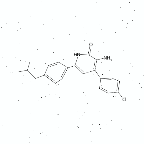 CC(C)Cc1ccc(-c2cc(-c3ccc(Cl)cc3)c(N)c(=O)[nH]2)cc1